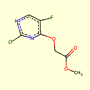 COC(=O)COc1nc(Cl)ncc1F